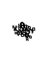 CC(C)(C)C(NC(=O)[C@H]1CC1(F)F)C(=O)N1C[C@@H]2CCC[C@@H]2[C@H]1C(=O)NN(C[C@@H]1CCNC1=O)C(=O)C(F)Cl